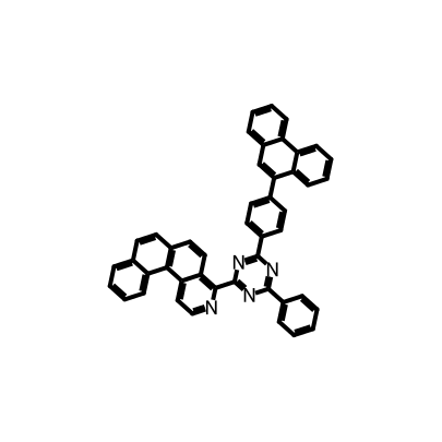 c1ccc(-c2nc(-c3ccc(-c4cc5ccccc5c5ccccc45)cc3)nc(-c3nccc4c3ccc3ccc5ccccc5c34)n2)cc1